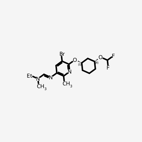 CCN(C)C=Nc1cc(Br)c(O[C@H]2CCC[C@@H](OC(F)F)C2)nc1C